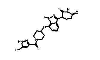 CC(C)c1cc(C(=O)N2CCC(Oc3cccc4c(C5CCC(=O)NC5=O)nn(C)c34)CC2)n[nH]1